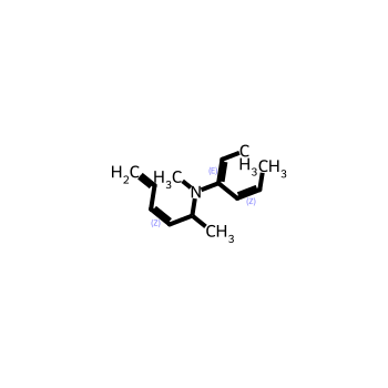 C=C/C=C\C(C)N(C)C(/C=C\C)=C/C